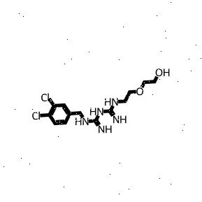 N=C(NCCOCCO)NC(=N)NCc1ccc(Cl)c(Cl)c1